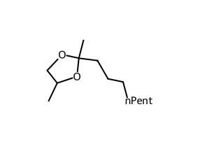 CCCCCCCCC1(C)OCC(C)O1